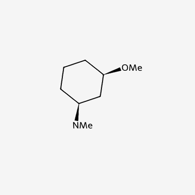 CN[C@H]1CCC[C@@H](OC)C1